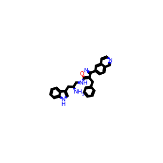 NC(CNc1onc(-c2ccc3cnccc3c2)c1Cc1ccccc1)Cc1c[nH]c2ccccc12